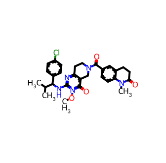 COn1c(NC(c2ccc(Cl)cc2)C(C)C)nc2c(c1=O)CN(C(=O)c1ccc3c(c1)CCC(=O)N3C)CC2